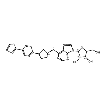 OCC1O[C@@H](n2cnc3c(N[C@H]4CCN(c5ccc(-c6cccs6)cn5)C4)ncnc32)[C@H](O)[C@@H]1O